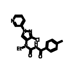 CCN(C(=O)NC(=O)c1ccc(C)cc1)c1cn(-c2cccnc2)nc1Cl